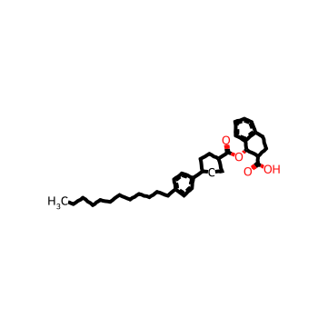 CCCCCCCCCCCCc1ccc(C2CCC(C(=O)OC3c4ccccc4CCC3C(=O)O)CC2)cc1